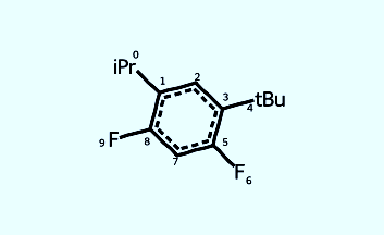 CC(C)c1cc(C(C)(C)C)c(F)cc1F